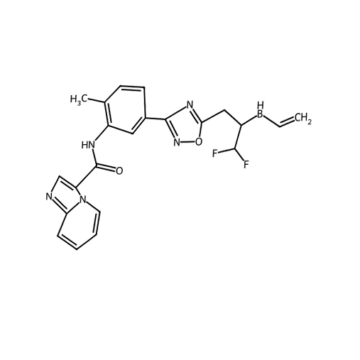 C=CBC(Cc1nc(-c2ccc(C)c(NC(=O)c3cnc4ccccn34)c2)no1)C(F)F